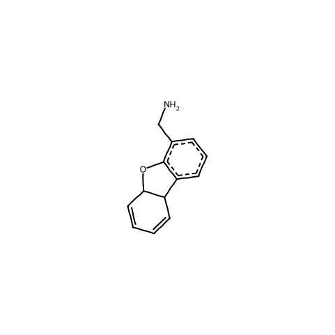 NCc1cccc2c1OC1C=CC=CC21